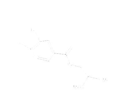 COC(CNC(=O)c1ccc(F)c(Br)c1)OC